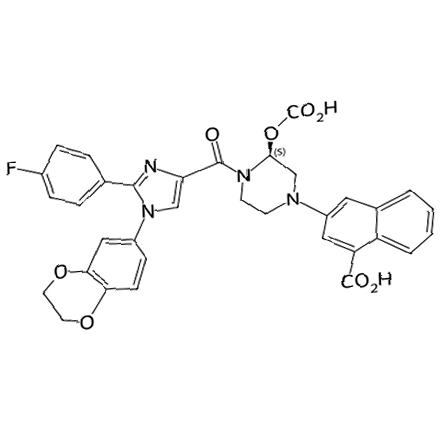 O=C(O)O[C@H]1CN(c2cc(C(=O)O)c3ccccc3c2)CCN1C(=O)c1cn(-c2ccc3c(c2)OCCO3)c(-c2ccc(F)cc2)n1